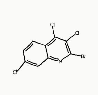 Clc1ccc2c(Cl)c(Cl)c(Br)nc2c1